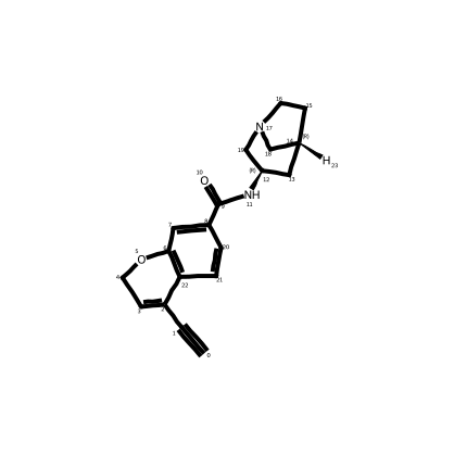 C#CC1=CCOc2cc(C(=O)N[C@@H]3C[C@H]4CCN(C4)C3)ccc21